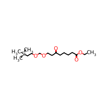 CCOC(=O)CCCCC(=O)CCOCOCC[Si](C)(C)C